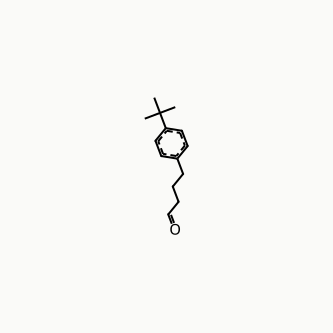 CC(C)(C)c1ccc(CCCC=O)cc1